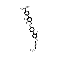 C=CCCCOc1ccc(C2CCC(OCc3ccc(-c4ccc(C(O)CCC)cc4)c(F)c3F)CC2)c(F)c1